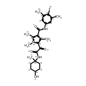 Cc1cc(NC(=O)c2c(C)c(C(=O)C(=O)NC3(C)CCC(O)CC3)n(C)c2C)cc(C)c1F